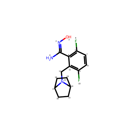 N/C(=N/O)c1c(F)ccc(F)c1CN1C2CCC1CC2